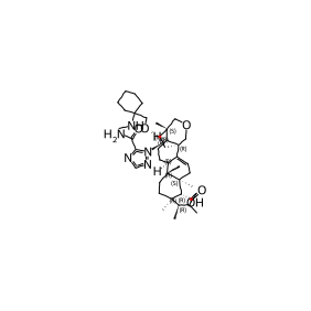 CNC1(CO[C@H]2[C@H](n3ncnc3C(N)=O)C[C@@]34COC[C@]2(C)[C@@H]3CC[C@H]2C4=CC[C@@]3(C)[C@H](C(=O)O)[C@@](C)([C@H](C)C(C)C)CC[C@]23C)CCCCC1